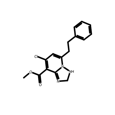 COC(=O)C1=C(Cl)C=C(CCc2ccccc2)N2NCN=C12